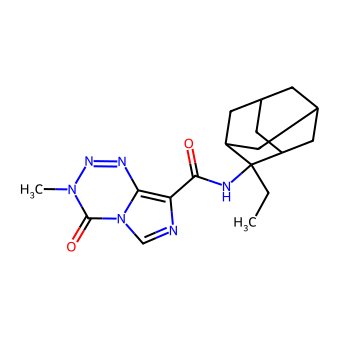 CCC1(NC(=O)c2ncn3c(=O)n(C)nnc23)C2CC3CC(C2)CC1C3